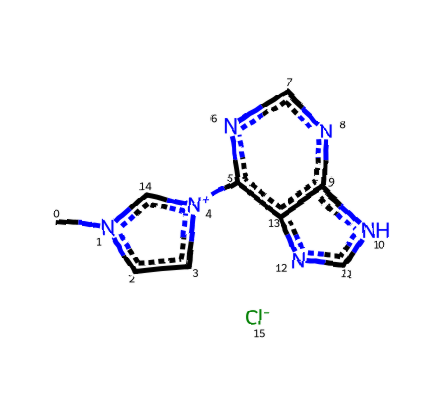 Cn1cc[n+](-c2ncnc3[nH]cnc23)c1.[Cl-]